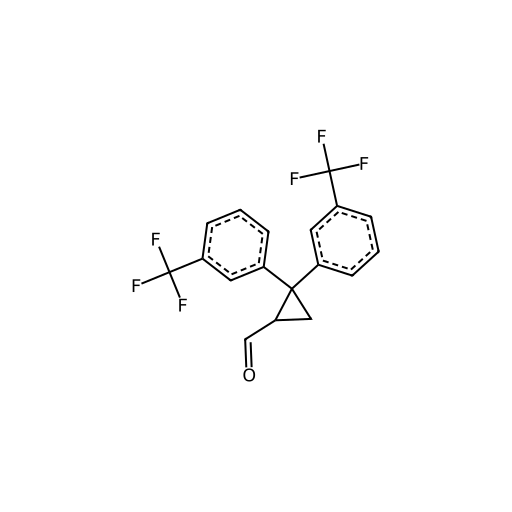 O=CC1CC1(c1cccc(C(F)(F)F)c1)c1cccc(C(F)(F)F)c1